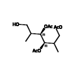 CC(=O)OCC(C)[C@@H](OC(C)=O)[C@H](OC(C)=O)C(C)CO